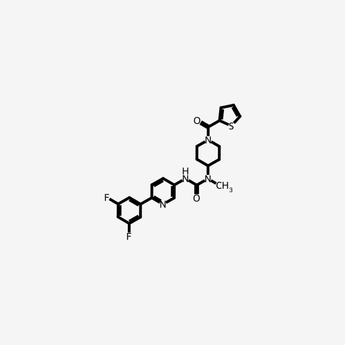 CN(C(=O)Nc1ccc(-c2cc(F)cc(F)c2)nc1)C1CCN(C(=O)c2cccs2)CC1